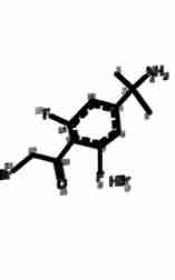 Br.CC(C)(N)c1cc(F)c(C(=O)CBr)c(F)c1